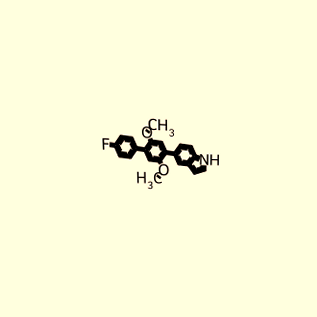 COc1cc(-c2ccc3[nH]ccc3c2)c(OC)cc1-c1ccc(F)cc1